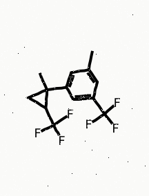 Cc1cc(C(F)(F)F)cc(C2(C)CC2C(F)(F)F)c1